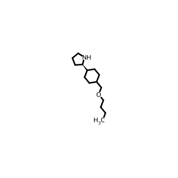 CCCCOCC1CCC([C@H]2CCCN2)CC1